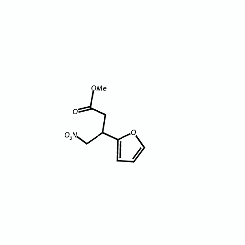 COC(=O)CC(C[N+](=O)[O-])c1ccco1